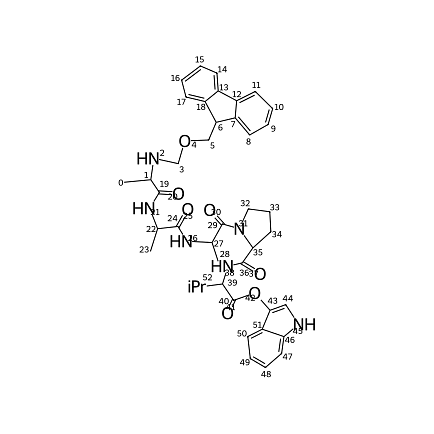 CC(NCOCC1c2ccccc2-c2ccccc21)C(=O)NC(C)C(=O)NC(C)C(=O)N1CCCC1C(=O)NC(C(=O)Oc1c[nH]c2ccccc12)C(C)C